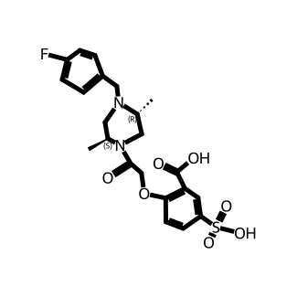 C[C@@H]1CN(C(=O)COc2ccc(S(=O)(=O)O)cc2C(=O)O)[C@@H](C)CN1Cc1ccc(F)cc1